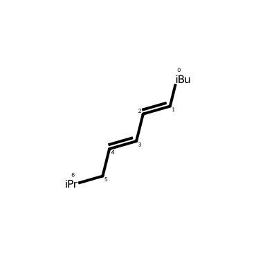 CCC(C)C=CC=CCC(C)C